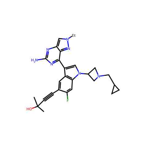 CCn1cc2nc(N)nc(-c3cn(C4CN(CC5CC5)C4)c4cc(F)c(C#CC(C)(C)O)cc34)c2n1